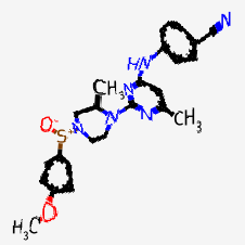 COc1ccc([S+]([O-])N2CCN(c3nc(C)cc(Nc4ccc(C#N)cc4)n3)C(C)C2)cc1